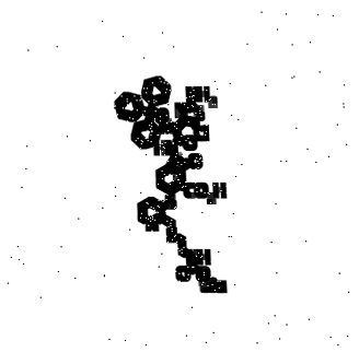 CC(C)(C)OC(=O)NCCSCc1ncccc1SC1=C(C(=O)O)N2C(=O)[C@H](NC(=O)C(=NOC(c3ccccc3)(c3ccccc3)c3ccccc3)c3nc(N)sc3Cl)C2CC1